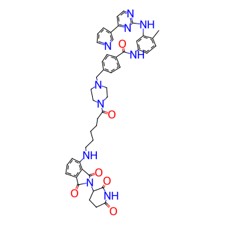 Cc1ccc(NC(=O)c2ccc(CN3CCN(C(=O)CCCCCNc4cccc5c4C(=O)N(C4CCC(=O)NC4=O)C5=O)CC3)cc2)cc1Nc1nccc(-c2cccnc2)n1